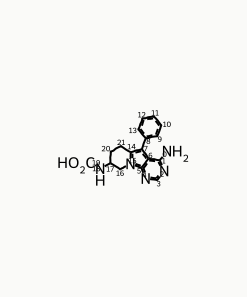 Nc1ncnc2c1c(-c1ccccc1)c1n2CC(NC(=O)O)CC1